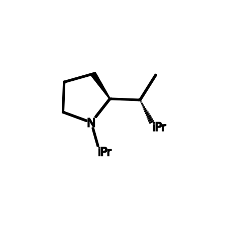 CC(C)[C@@H](C)[C@@H]1CCCN1C(C)C